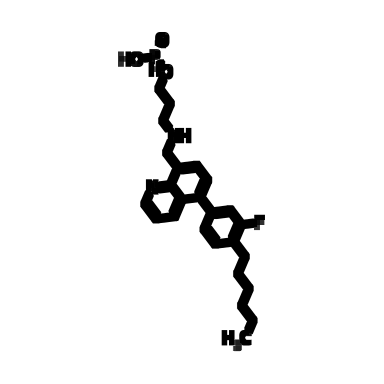 CCCCCCc1ccc(-c2ccc(CNCCCO[PH](=O)O)c3ncccc23)cc1F